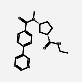 CCNC(=O)[C@H]1CC[C@@H](N(C)C(=O)c2ccc(-c3cncnc3)cc2)C1